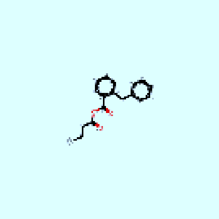 CCCC(=O)OC(=O)c1ccccc1Cc1ccccc1